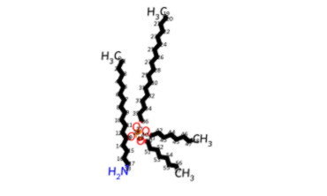 CCCCCCCCCCCCCCCCCCN.CCCCCCCCCCCCCCCCCCOP(=O)(OCCCCCCCC)OCCCCCCCC